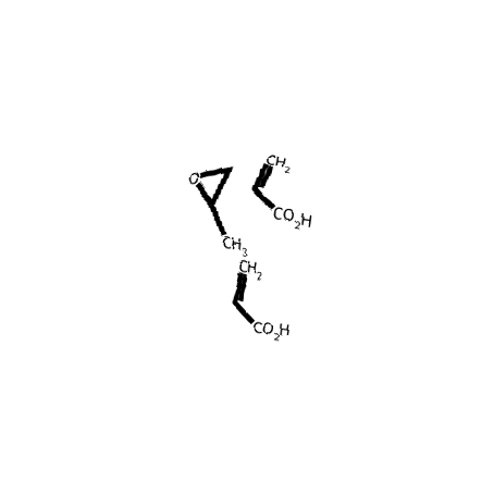 C=CC(=O)O.C=CC(=O)O.CC1CO1